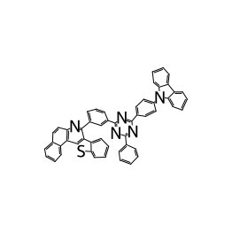 c1ccc(-c2nc(-c3ccc(-n4c5ccccc5c5ccccc54)cc3)nc(-c3cccc(-c4nc5ccc6ccccc6c5c5sc6ccccc6c45)c3)n2)cc1